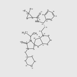 CC(C)N1C(=O)N(CC2CCOCC2)CC12CC1CCCN(CC[C@H](NC(=O)C3CC3(F)F)c3ccccc3)C1C2